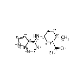 CCC(=O)N1C[C@H](Nc2ncnc3[nH]ccc23)CC[C@@H]1C